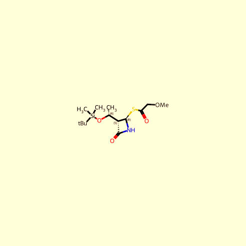 COCC(=O)S[C@H]1NC(=O)[C@@H]1[C@@H](C)O[Si](C)(C)C(C)(C)C